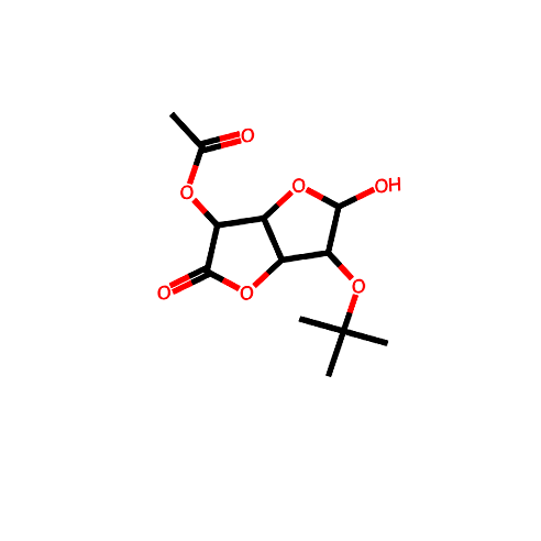 CC(=O)OC1C(=O)OC2C(OC(C)(C)C)C(O)OC12